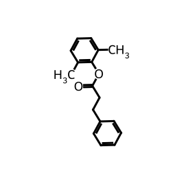 Cc1cccc(C)c1OC(=O)CCc1ccccc1